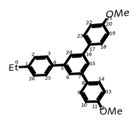 CCc1ccc(-c2cc(-c3ccc(OC)cc3)cc(-c3ccc(OC)cc3)c2)cc1